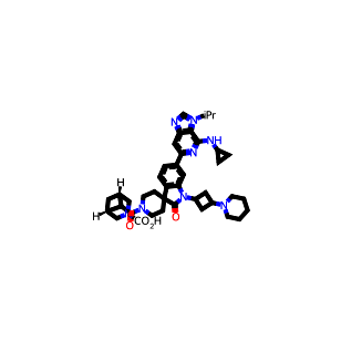 CC(C)n1cnc2cc(-c3ccc4c(c3)N(C3CC(N5CCCCC5)C3)C(=O)C43CCN(C(=O)C4[C@@H]5C[C@H]4CN(C(=O)O)C5)CC3)nc(NC3CC3)c21